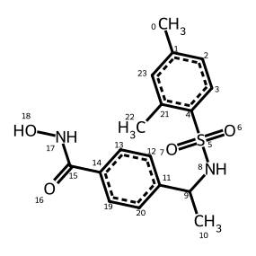 Cc1ccc(S(=O)(=O)NC(C)c2ccc(C(=O)NO)cc2)c(C)c1